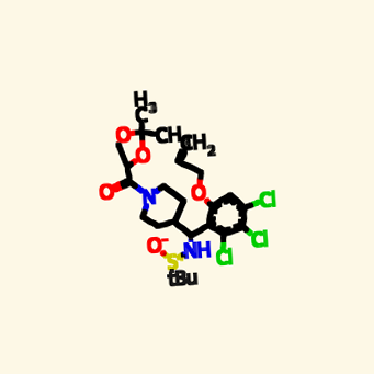 C=CCOc1cc(Cl)c(Cl)c(Cl)c1[C@H](N[S@@+]([O-])C(C)(C)C)C1CCN(C(=O)C2COC(C)(C)O2)CC1